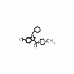 CN1CCN(C(=O)c2cn(CC3CCCCC3)c3cc(Cl)ccc23)CC1